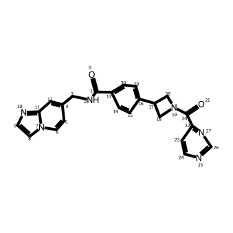 O=C(NCc1ccn2ccnc2c1)c1ccc(C2CN(C(=O)c3ccncn3)C2)cc1